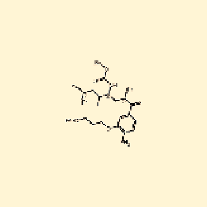 C=C(c1ccc(P)c(OCCCOC)c1)[C@@H](C[C@H](NC(=O)OC(C)(C)C)C(C)C[C@H](C(C)=O)C(C)C)C(C)C